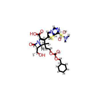 C[C@@H](O)[C@H]1C(=O)N2C(C(=O)O)=C(c3cn4cnc(S(=O)(=O)N(C)C)c4s3)C(C)(CCOC(=O)OCC3CCCCC3)[C@@H]12